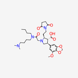 CCCCN(CCCCN(C)C)C(=O)CN1C[C@H](c2cc(OC)c3c(c2)OCO3)[C@@H](C(=O)O)[C@@H]1CCN1C(=O)CCC1=O